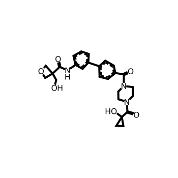 O=C(c1ccc(-c2cccc(NC(=O)C3(CO)COC3)c2)cc1)N1CCN(C(=O)C2(O)CC2)CC1